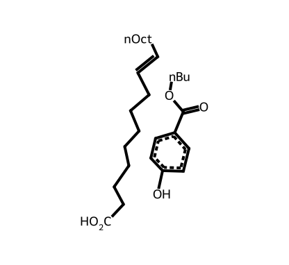 CCCCCCCCC=CCCCCCCCC(=O)O.CCCCOC(=O)c1ccc(O)cc1